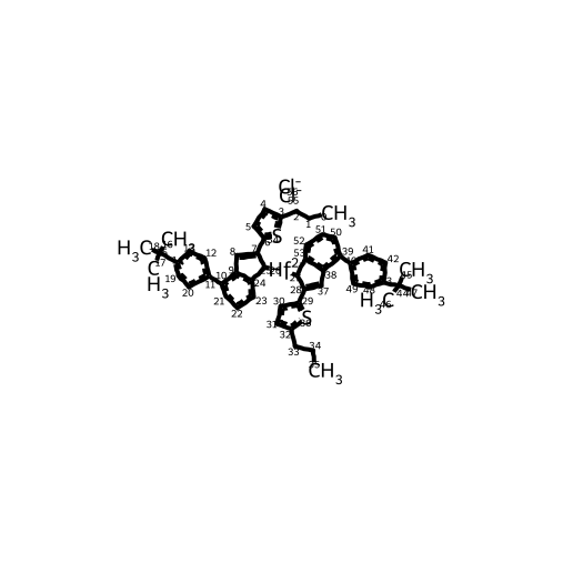 CCCc1ccc(C2=Cc3c(-c4ccc(C(C)(C)C)cc4)cccc3[CH]2[Hf+2][CH]2C(c3ccc(CCC)s3)=Cc3c(-c4ccc(C(C)(C)C)cc4)cccc32)s1.[Cl-].[Cl-]